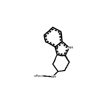 CCCCCNC1CCc2[nH]c3ccccc3c2C1